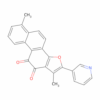 Cc1c(-c2cccnc2)oc2c1C(=O)C(=O)c1c-2ccc2c(C)cccc12